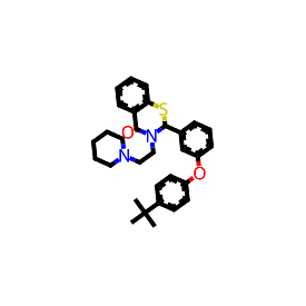 CC(C)(C)c1ccc(Oc2cccc(C3Sc4ccccc4C(=O)N3CCN3CCCCC3)c2)cc1